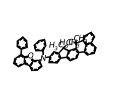 CC1(C)c2cc(N(c3ccccc3)c3cccc4c3oc3c(-c5ccccc5)cccc34)ccc2-c2ccc3c(c21)C(C)(C)c1cccc2cccc-3c12